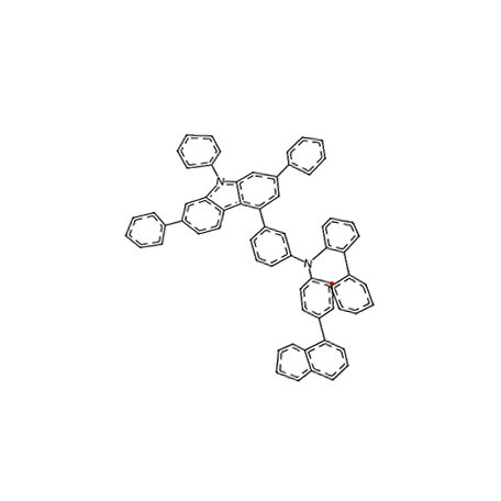 c1ccc(-c2ccc3c4c(-c5cccc(N(c6ccc(-c7cccc8ccccc78)cc6)c6ccccc6-c6ccccc6)c5)cc(-c5ccccc5)cc4n(-c4ccccc4)c3c2)cc1